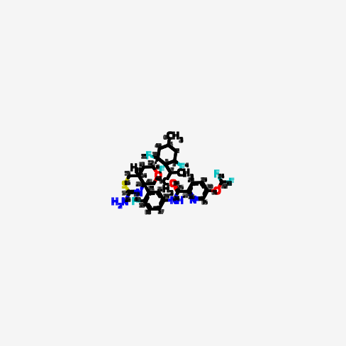 CC1CC(F)C(F)(C(C)C)C(F)([C@H]2C[C@H]3CSC(N)=N[C@@]3(c3cc(NC(=O)c4ccc(OC(F)F)cn4)ccc3F)CO2)C1